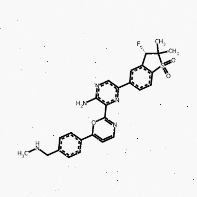 CNCc1ccc(C2=C=CN=C(c3nc(-c4ccc5c(c4)[C@H](F)C(C)(C)S5(=O)=O)cnc3N)O2)cc1